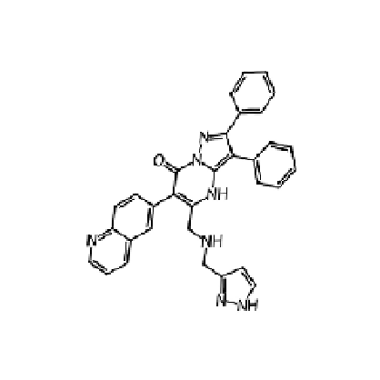 O=c1c(-c2ccc3ncccc3c2)c(CNCc2cc[nH]n2)[nH]c2c(-c3ccccc3)c(-c3ccccc3)nn12